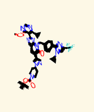 COc1ncnc(C2CC2)c1-c1ncc2cc(-c3cnn(C4CCN(C(=O)OC(C)(C)C)CC4)c3)c(=O)n(Cc3ccc(-c4nc(C(F)(F)F)cn4C4CC4)cc3)c2n1